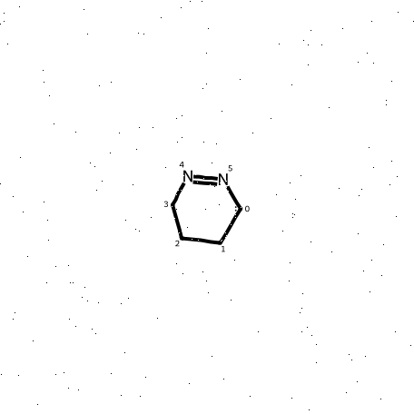 [C]1CCCN=N1